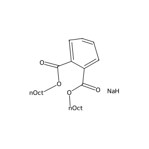 CCCCCCCCOC(=O)c1ccccc1C(=O)OCCCCCCCC.[NaH]